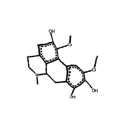 COc1cc2c(c(O)c1O)CC1c3c(cc(O)c(OC)c3-2)CCN1C